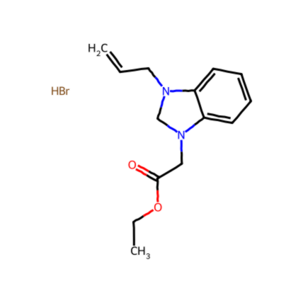 Br.C=CCN1CN(CC(=O)OCC)c2ccccc21